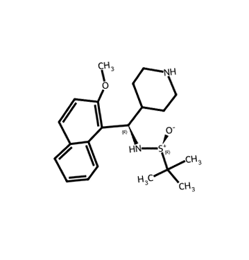 COc1ccc2ccccc2c1[C@H](N[S@@+]([O-])C(C)(C)C)C1CCNCC1